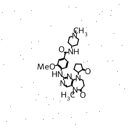 COc1cc(C(=O)NC2CCN(C)CC2)ccc1Nc1ncc2c(n1)N(C1CCCC1=O)CCC(=O)N2C